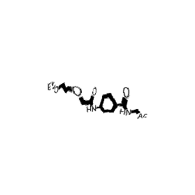 CCOCCOCC(=O)N[C@H]1CC[C@@H](C(=O)NCC(C)=O)CC1